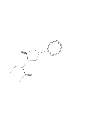 CCC(C(N)=O)N1CC(c2ccccc2)SC1=O